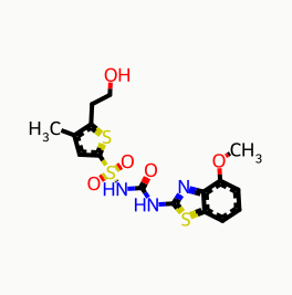 COc1cccc2sc(NC(=O)NS(=O)(=O)c3cc(C)c(CCO)s3)nc12